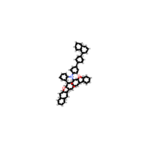 c1ccc(N(c2ccc(-c3ccc(-c4cccc5ccccc45)cc3)cc2)c2cccc3c2oc2ccccc23)c(-c2cccc3c2oc2cc4ccccc4cc23)c1